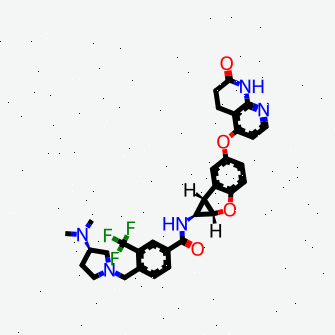 CN(C)[C@@H]1CCN(Cc2ccc(C(=O)N[C@@H]3[C@H]4Oc5ccc(Oc6ccnc7c6CCC(=O)N7)cc5[C@@H]34)cc2C(F)(F)F)C1